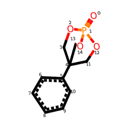 O=P12OCC(c3ccccc3)(CO1)CO2